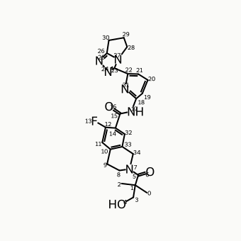 CC(C)(CO)C(=O)N1CCc2cc(F)c(C(=O)Nc3cccc(-c4nnc5n4CCC5)n3)cc2C1